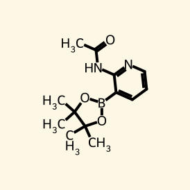 CC(=O)Nc1ncccc1B1OC(C)(C)C(C)(C)O1